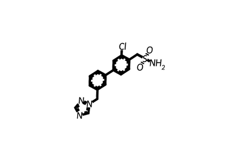 NS(=O)(=O)Cc1ccc(-c2cccc(Cn3cncn3)c2)cc1Cl